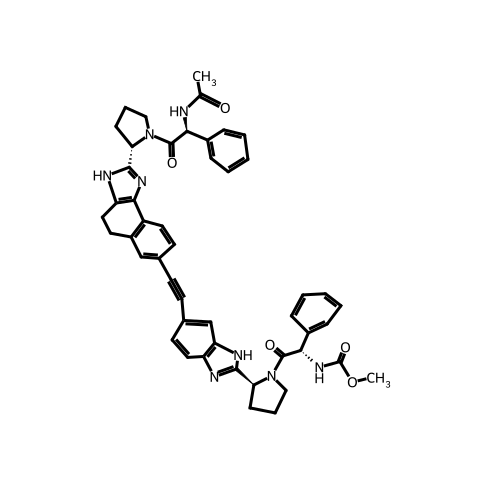 COC(=O)N[C@H](C(=O)N1CCC[C@H]1c1nc2ccc(C#Cc3ccc4c(c3)CCc3[nH]c([C@@H]5CCCN5C(=O)[C@@H](NC(C)=O)c5ccccc5)nc3-4)cc2[nH]1)c1ccccc1